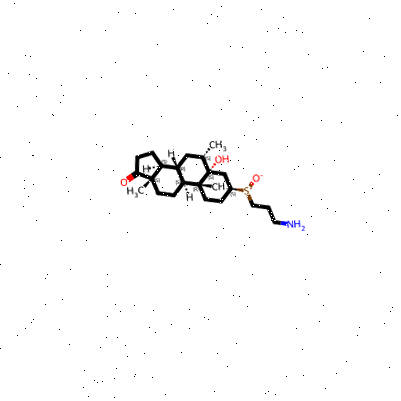 C[C@H]1C[C@H]2[C@@H]3CCC(=O)[C@@]3(C)CC[C@@H]2[C@@]2(C)CC[C@H]([S+]([O-])CCCN)C[C@]12O